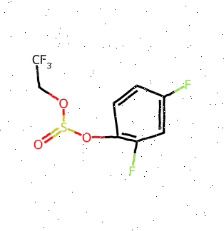 O=S(OCC(F)(F)F)Oc1ccc(F)cc1F